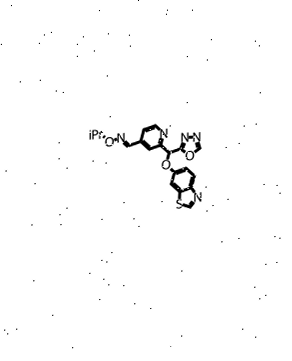 CC(C)O/N=C/c1ccnc(C(Oc2ccc3ncsc3c2)c2nnco2)c1